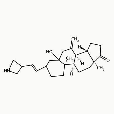 C=C1CC2(O)CC(C=CC3CNC3)CC[C@]2(C)[C@@H]2CC[C@]3(C)C(=O)CC[C@H]3[C@H]12